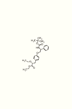 CCOC(=O)[C@H](Cc1ccc(OC[C@@H](NC(=O)OC(C)(C)C)c2ccccc2)cc1)OCC